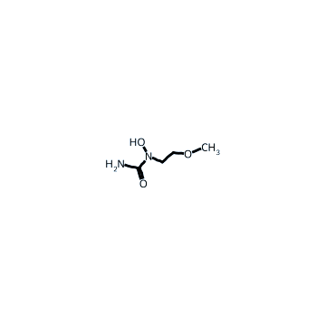 COCCN(O)C(N)=O